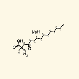 CCCCCCCCCCCC(=O)CC(C)(N)C(=O)O.[NaH]